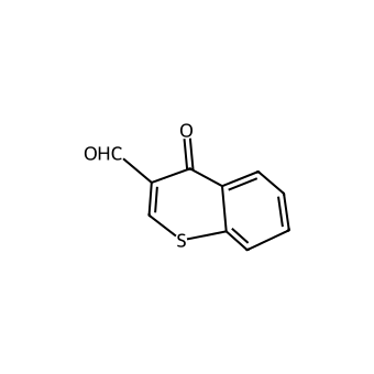 O=Cc1csc2ccccc2c1=O